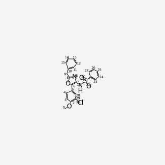 COc1ccc(-c2oc(Cc3ccccc3)nc2NS(=O)(=O)c2ccccc2)cc1Cl